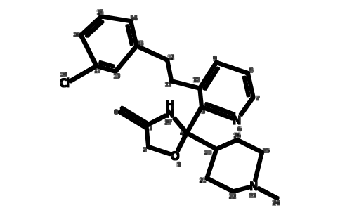 C=C1COC(c2ncccc2CCc2cccc(Cl)c2)(C2CCN(C)CC2)N1